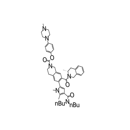 CCCCN(CCCC)C(=O)c1cc(-c2cc3c(cc2C(=O)N2Cc4ccccc4C[C@H]2C)CN(C(=O)Oc2ccc(N4CCN(C)CC4)cc2)CC3)n(C)c1C